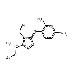 Cc1cc([N+](=O)[O-])ccc1N=c1scc([C@@H](C)OC(C)(C)C)n1CC(C)C